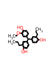 CCCc1cc(C(c2ccc(O)c(CCC)c2)c2ccc(O)c(OCC)c2)ccc1O